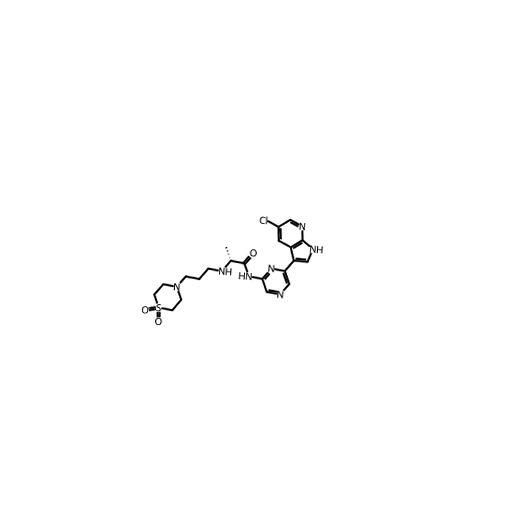 C[C@@H](NCCCN1CCS(=O)(=O)CC1)C(=O)Nc1cncc(-c2c[nH]c3ncc(Cl)cc23)n1